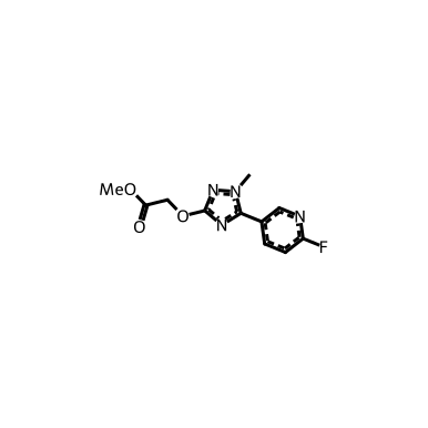 COC(=O)COc1nc(-c2ccc(F)nc2)n(C)n1